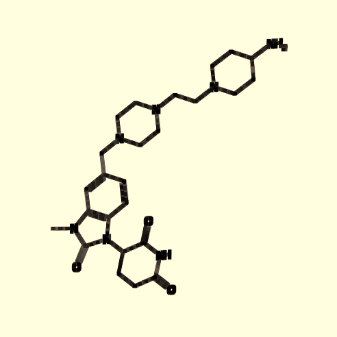 Cn1c(=O)n(C2CCC(=O)NC2=O)c2ccc(CN3CCN(CCN4CCC(N)CC4)CC3)cc21